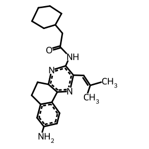 CC(C)=Cc1nc2c(nc1NC(=O)CC1CCCCC1)CCc1cc(N)ccc1-2